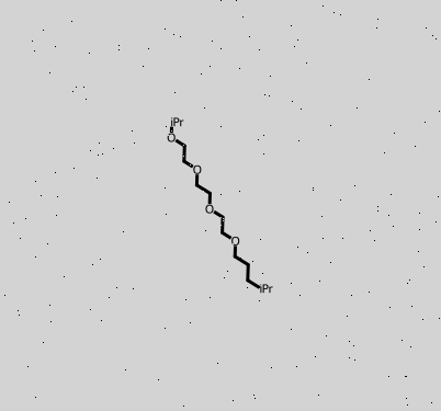 CC(C)CCCOCCOCCOCCOC(C)C